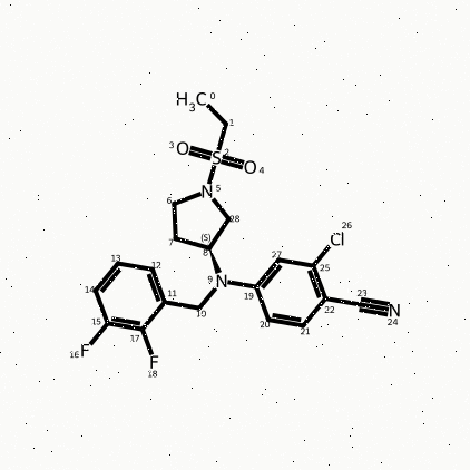 CCS(=O)(=O)N1CC[C@H](N(Cc2cccc(F)c2F)c2ccc(C#N)c(Cl)c2)C1